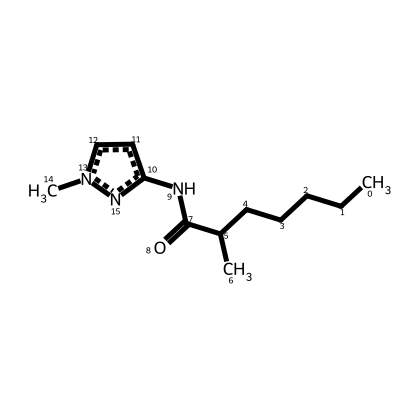 CCCCCC(C)C(=O)Nc1ccn(C)n1